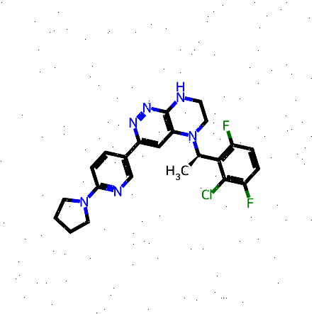 C[C@H](c1c(F)ccc(F)c1Cl)N1CCNc2nnc(-c3ccc(N4CCCC4)nc3)cc21